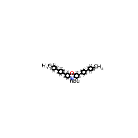 CCCCN1c2ccc(-c3ccc(-c4ccc(C)cc4)cc3)cc2Oc2cc(-c3ccc(-c4ccc(C)cc4)cc3)ccc21